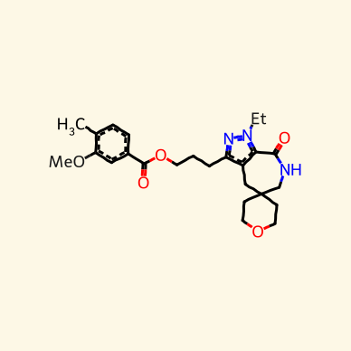 CCn1nc(CCCOC(=O)c2ccc(C)c(OC)c2)c2c1C(=O)NCC1(CCOCC1)C2